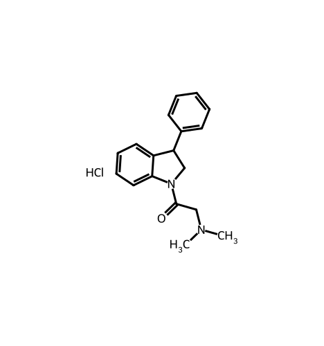 CN(C)CC(=O)N1CC(c2ccccc2)c2ccccc21.Cl